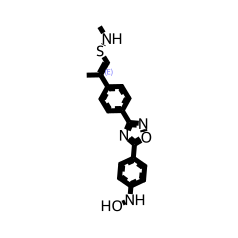 CNS/C=C(\C)c1ccc(-c2noc(-c3ccc(NO)cc3)n2)cc1